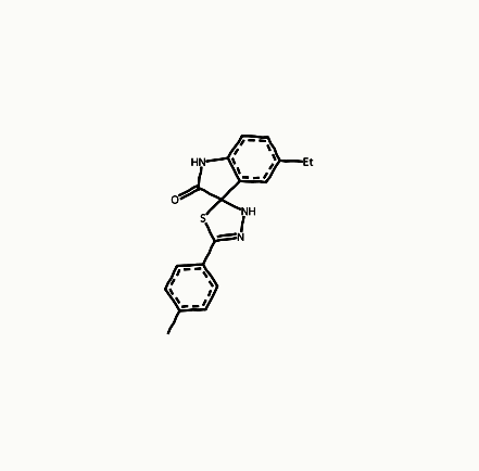 CCc1ccc2c(c1)C1(NN=C(c3ccc(C)cc3)S1)C(=O)N2